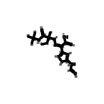 CCC(C)(ON=C(C(=O)O)c1nsc(NC=O)n1)C(=O)OC(C)(C)C